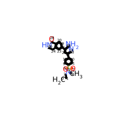 C=CCN(C)S(=O)(=O)c1ccc(-c2cnc(N)c(-c3ccc4c(c3)CCNC4=O)c2)cc1